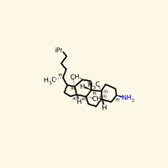 CC(C)CCC[C@@H](C)C1CC[C@H]2[C@]3(C)CC[C@H]4C[C@H](N)CC[C@]4(C)[C@H]3CC[C@]12C